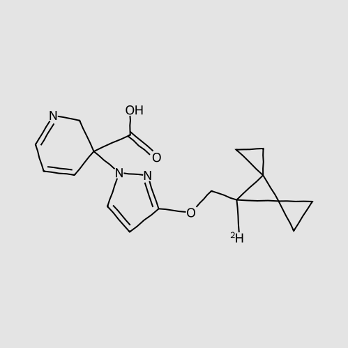 [2H]C1(COc2ccn(C3(C(=O)O)C=CC=NC3)n2)C2(CC2)C12CC2